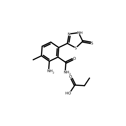 CCC(=O)O.Cc1ccc(-c2n[nH]c(=S)s2)c(C(N)=O)c1N